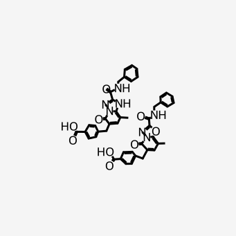 Cc1cc(Cc2ccc(C(=O)O)cc2)c(=O)n2nc(C(=O)NCc3ccccc3)[nH]c12.Cc1cc(Cc2ccc(C(=O)O)cc2)c(=O)n2nc(C(=O)NCc3ccccc3)oc12